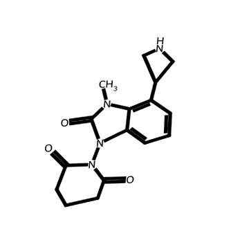 Cn1c(=O)n(N2C(=O)CCCC2=O)c2cccc(C3CNC3)c21